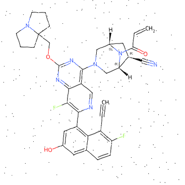 C#Cc1c(F)ccc2cc(O)cc(-c3ncc4c(N5C[C@@H]6C[C@@H](C#N)[C@H](C5)N6C(=O)C=C)nc(OCC56CCCN5CCC6)nc4c3F)c12